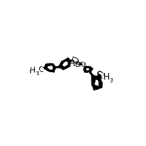 Cc1ccc(-c2ccc(OBOc3ccc(-c4ccccc4C)cc3)cc2)cc1